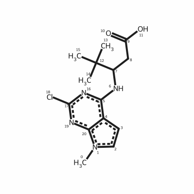 Cn1ccc2c(NC(CC(=O)O)C(C)(C)C)nc(Cl)nc21